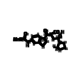 CNC(=O)Nc1ccc2c(c1)CC[C@@H]2C(=O)N(CC(=O)N1CCC[C@H]1C)C(=O)O